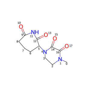 CN1CCN(C2CCCC(=O)NC2=O)C(=O)C1=O